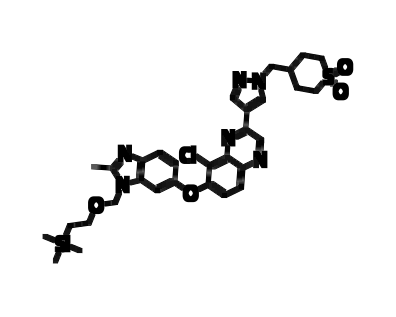 Cc1nc2ccc(Oc3ccc4ncc(-c5cnn(CC6CCS(=O)(=O)CC6)c5)nc4c3Cl)cc2n1COCC[Si](C)(C)C